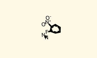 N#N.O=[N+]([O-])c1ccccc1F